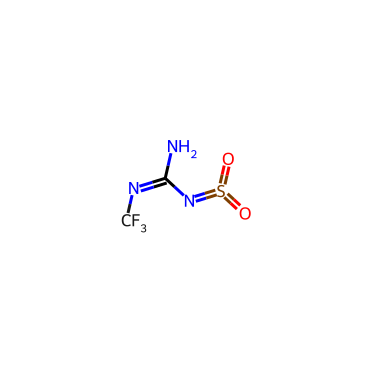 NC(=NC(F)(F)F)N=S(=O)=O